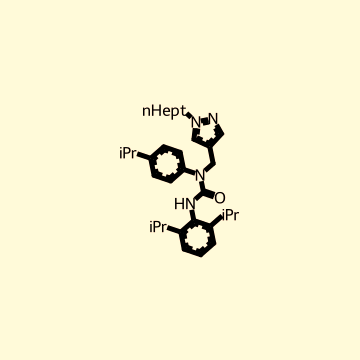 CCCCCCCn1cc(CN(C(=O)Nc2c(C(C)C)cccc2C(C)C)c2ccc(C(C)C)cc2)cn1